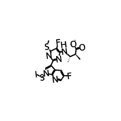 COC(=O)[C@@H](C)[C@H](C)Nc1nc(-c2cn(SI)c3ncc(F)cc23)nc(SC)c1F